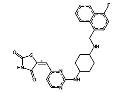 O=C1NC(=O)/C(=C\c2ccnc(NC3CCC(NCc4ccc(F)c5ccccc45)CC3)n2)S1